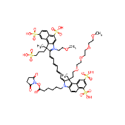 COCCOCCOCCOCCC1(C)\C(=C/C=C/C=C/C=C/C2=[N+](CCOC)c3cc(S(=O)(=O)O)c4ccc(S(=O)(=O)O)cc4c3C2(C)CCCS(=O)(=O)O)N(CCCCCC(=O)ON2C(=O)CCC2=O)c2ccc3c(S(=O)(=O)O)cc(S(=O)(=O)O)cc3c21